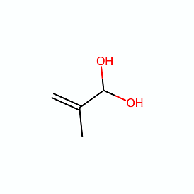 C=C(C)C(O)O